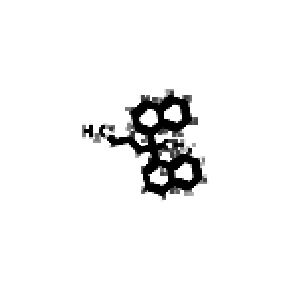 [CH2]C(CCCC)(c1cccc2ccccc12)c1cccc2ccccc12